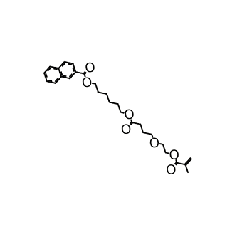 C=C(C)C(=O)OCCOCCCC(=O)OCCCCCCOC(=O)c1ccc2ccccc2c1